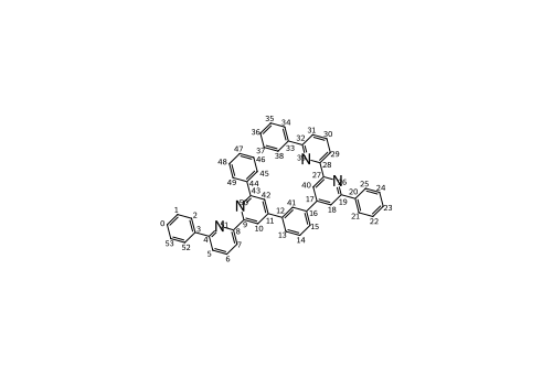 c1ccc(-c2cccc(-c3cc(-c4cccc(-c5cc(-c6ccccc6)nc(-c6cccc(-c7ccccc7)n6)c5)c4)cc(-c4ccccc4)n3)n2)cc1